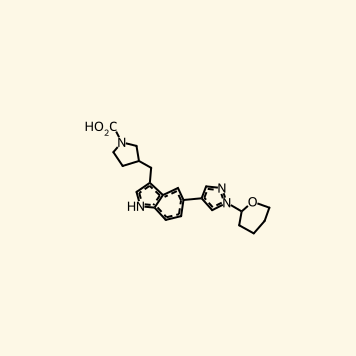 O=C(O)N1CCC(Cc2c[nH]c3ccc(-c4cnn(C5CCCCO5)c4)cc23)C1